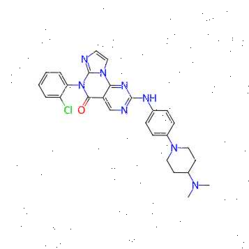 CN(C)C1CCN(c2ccc(Nc3ncc4c(=O)n(-c5ccccc5Cl)c5nccn5c4n3)cc2)CC1